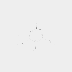 O=[N+]([O-])c1cc([N+](=O)[O-])c(O)c([N+](=O)[O-])c1.[SrH2]